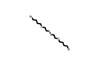 BrCCCCOCCSSCCOCCCCBr